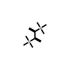 C=C(C(=C)[Si](C)(C)C)[Si](C)(C)C